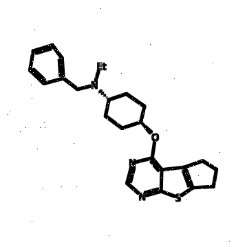 CCN(Cc1ccccc1)[C@H]1CC[C@H](Oc2ncnc3sc4c(c23)CCC4)CC1